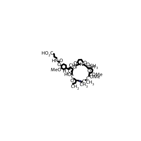 C=CCC1/C=C(\C)CC(C)CC(OC)C2OC(O)(C(=O)C(=O)N3CCCCC3C(=O)OC(C(C)=CC3CCC(OC(=O)NCCCC(=O)O)C(OC)C3)C(C)C(O)CC1=O)C(C)CC2OC